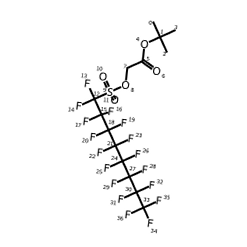 CC(C)(C)OC(=O)COS(=O)(=O)C(F)(F)C(F)(F)C(F)(F)C(F)(F)C(F)(F)C(F)(F)C(F)(F)C(F)(F)F